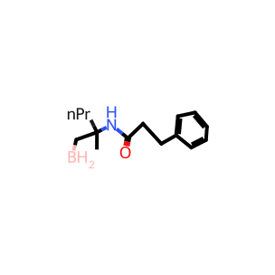 BCC(C)(CCC)NC(=O)CCc1ccccc1